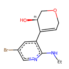 CCNc1ncc(Br)cc1C1=CCOC[C@@H]1O